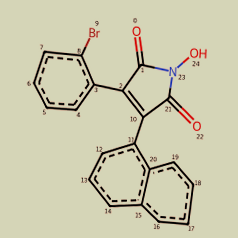 O=C1C(c2ccccc2Br)=C(c2cccc3ccccc23)C(=O)N1O